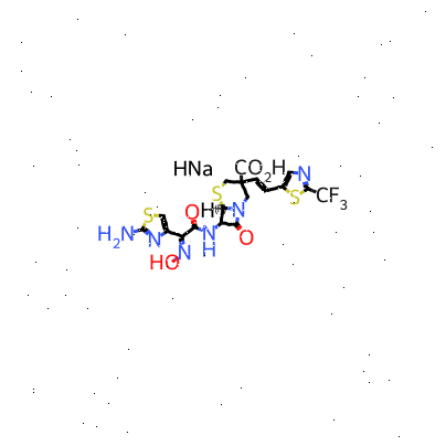 Nc1nc(C(=NO)C(=O)NC2C(=O)N3CC(C=Cc4cnc(C(F)(F)F)s4)(C(=O)O)CS[C@H]23)cs1.[NaH]